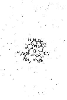 N#Cc1ccc(N(C(N)=O)c2ccccc2OCc2ccncc2)c(O)c1.NC(N)=O